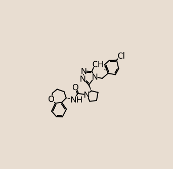 Cc1nnc([C@H]2CCCN2C(=O)N[C@H]2CCCOc3ccccc32)n1Cc1ccc(Cl)cc1